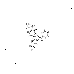 CC(C)(c1ccccc1)n1cc(C(F)(F)F)nc1-c1ccc(S(N)(=O)=O)cc1